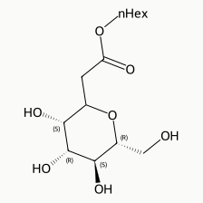 CCCCCCOC(=O)CC1O[C@H](CO)[C@@H](O)[C@H](O)[C@@H]1O